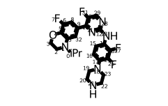 CC(C)N1CCOc2c(F)cc(-c3nc(Nc4ccc(N5CCNCC5)c(F)c4F)ncc3F)cc21